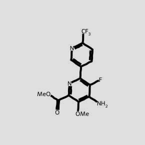 COC(=O)c1nc(-c2ccc(C(F)(F)F)nc2)c(F)c(N)c1OC